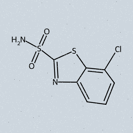 NS(=O)(=O)c1nc2cccc(Cl)c2s1